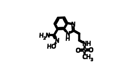 CS(=O)(=O)NCCc1nc2cccc(C(N)=NO)c2[nH]1